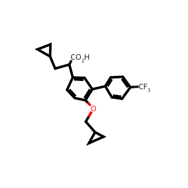 O=C(O)C(CC1CC1)c1ccc(OCC2CC2)c(-c2ccc(C(F)(F)F)cc2)c1